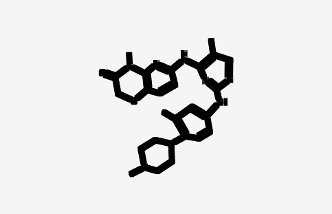 Cc1cc(Nc2ncc(C)c(Nc3ccc4c(n3)N(C)C(=O)CO4)n2)ccc1N1CCN(C)CC1